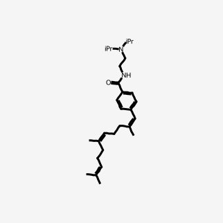 CC(C)=CCCC(C)=CCCC(C)=Cc1ccc(C(=O)NCCN(C(C)C)C(C)C)cc1